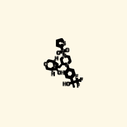 C[C@@](O)(c1ccc(N2CCN(S(=O)(=O)c3cccs3)C[C@@H]2CN2[C@H]3COC[C@@H]2[C@@H](O)C3)cc1)C(F)(F)F